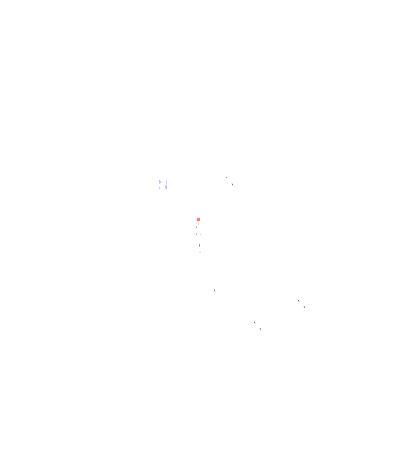 c1ccc(-n2c3ccc(-n4c5ccccc5c5ccc6c7ccccc7n(-c7ccccc7)c6c54)cc3c3cncnc32)cc1